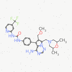 COCc1c(-c2ccc(NC(=O)Nc3cc(C(F)(F)F)ccn3)cc2)c2c(N)ncnn2c1CN1CC(C)OC(C)C1